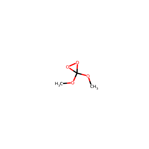 COC1(OC)OO1